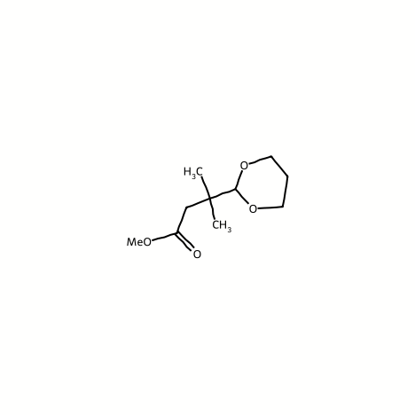 COC(=O)CC(C)(C)C1OCCCO1